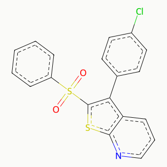 O=S(=O)(c1ccccc1)c1sc2ncccc2c1-c1ccc(Cl)cc1